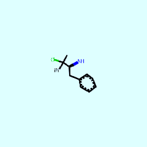 CC(C)C(C)(Cl)C(=N)Cc1ccccc1